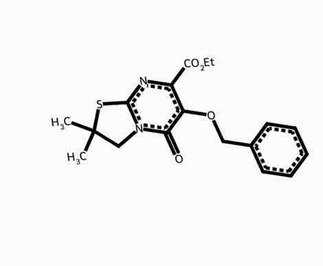 CCOC(=O)c1nc2n(c(=O)c1OCc1ccccc1)CC(C)(C)S2